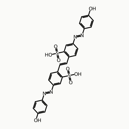 O=S(=O)(O)c1cc(/N=N/c2ccc(O)cc2)ccc1/C=C/c1ccc(/N=N/c2ccc(O)cc2)cc1S(=O)(=O)O